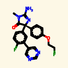 CN1C(=O)[C@@](c2ccc(OCCF)cc2)(c2ccc(F)c(-c3cncnc3)c2)N=C1N